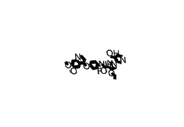 CCOc1cn(-c2cnccc2CO)nc1C(=O)Nc1ccc(Oc2ccnc3cc(OC)c(OC)cc23)cc1F